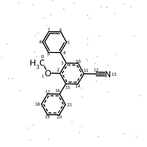 COc1c(C2=CC=C=C=C2)cc(C#N)cc1-c1ccccc1